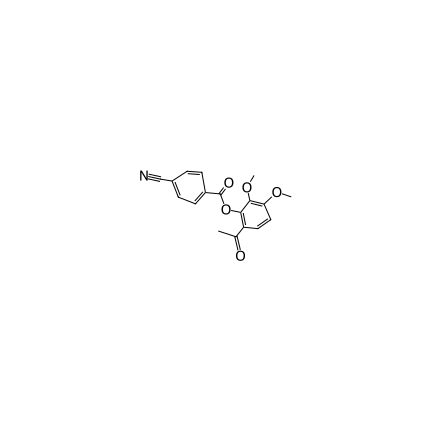 COc1ccc(C(C)=O)c(OC(=O)c2ccc(C#N)cc2)c1OC